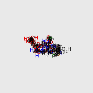 COc1ccccc1-c1nccc(COc2ccccc2C[C@@H](Oc2ncnc3sc(-c4ccc(F)cc4)c(-c4ccc(OCCN5CC[N+](C)(Cc6ccc(NC(=O)[C@H](CCCNC(N)=O)NC(=O)[C@@H](NC(=O)CCOCCN7C(=O)C=CC7=O)C(C)C)cc6COCc6cn(CCOC(=O)NS(=O)(=O)NCCOCCOCCO[C@@H]7O[C@H](CO)[C@@H](O)[C@H](O)[C@H]7O)nn6)CC5)c(Cl)c4C)c23)C(=O)O)n1.O=C([O-])C(F)(F)F